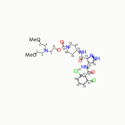 COCCN(CCOC)CCOC(=O)N1CCC(NC(=O)c2n[nH]cc2NC(=O)c2c(Cl)cccc2Cl)CC1